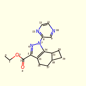 CCOC(=O)c1nn(-c2cnccn2)c2c1CCC1CCC21